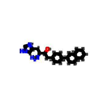 NC(Cc1c[nH]cn1)C(=O)Cc1ccc(-c2ccc3ccccc3c2)cc1